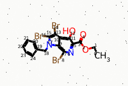 CCOC(=O)c1nc(Br)c2c(c1O)c(Br)c(Br)n2Cc1ccccc1